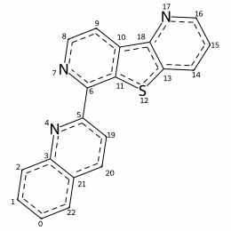 c1ccc2nc(-c3nccc4c3sc3cccnc34)ccc2c1